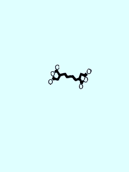 O=C1CC(CCCCC2CC(=O)OC2=O)C(=O)O1